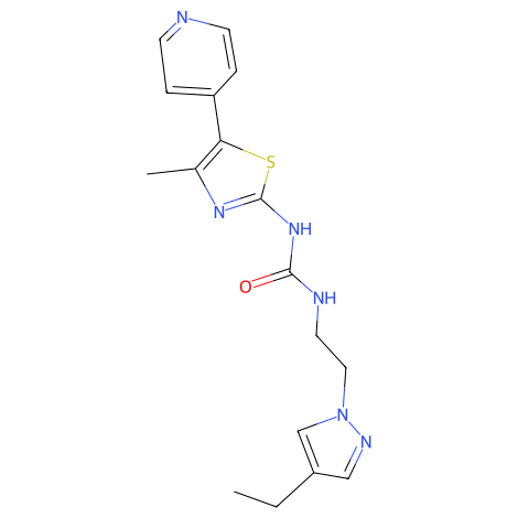 CCc1cnn(CCNC(=O)Nc2nc(C)c(-c3ccncc3)s2)c1